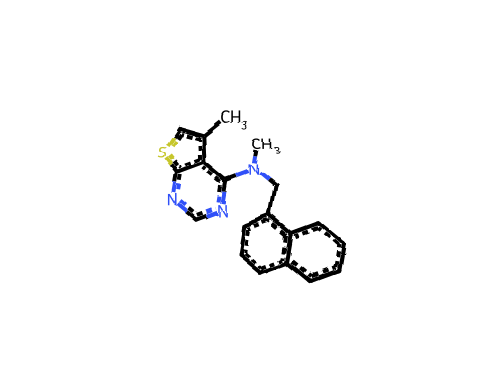 Cc1csc2ncnc(N(C)Cc3cccc4ccccc34)c12